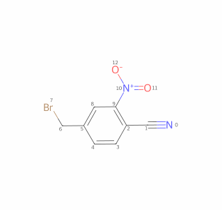 N#Cc1ccc(CBr)cc1[N+](=O)[O-]